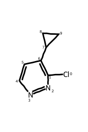 Clc1nnccc1C1CC1